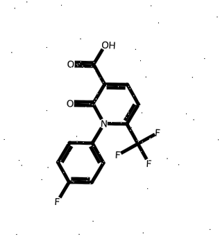 O=C(O)c1ccc(C(F)(F)F)n(-c2ccc(F)cc2)c1=O